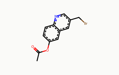 CC(=O)Oc1ccc2ncc(CBr)cc2c1